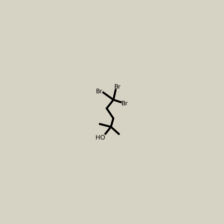 CC(C)(O)CCC(Br)(Br)Br